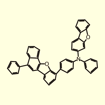 c1ccc(-c2cc3c4cccc(-c5ccc(N(c6ccccc6)c6ccc7c(c6)oc6ccccc67)cc5)c4oc3c3ccccc23)cc1